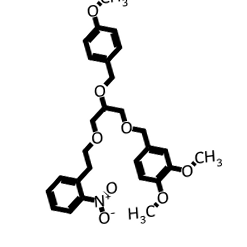 COc1ccc(CO[C](COCCc2ccccc2[N+](=O)[O-])COCc2ccc(OC)c(OC)c2)cc1